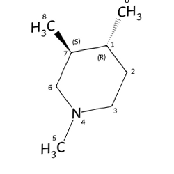 C[C@@H]1CCN(C)C[C@H]1C